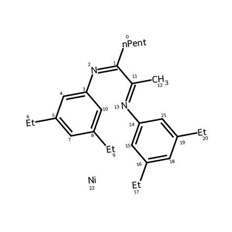 CCCCCC(=Nc1cc(CC)cc(CC)c1)C(C)=Nc1cc(CC)cc(CC)c1.[Ni]